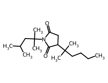 CCCCC(C)(C)C1CC(=O)N(C(C)(C)CC(C)C)C1=O